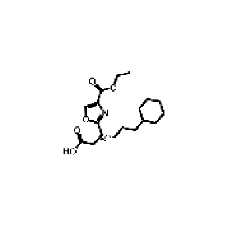 CCOC(=O)c1coc([C@H](CCCC2CCCCC2)CC(=O)O)n1